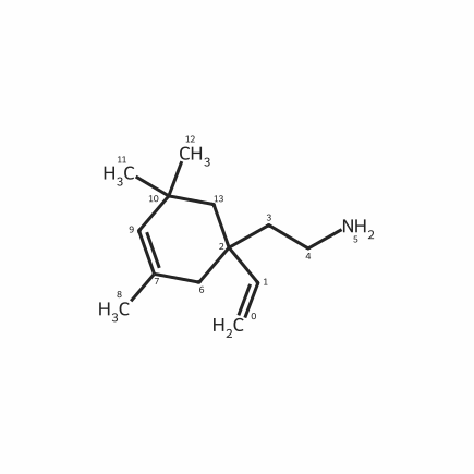 C=CC1(CCN)CC(C)=CC(C)(C)C1